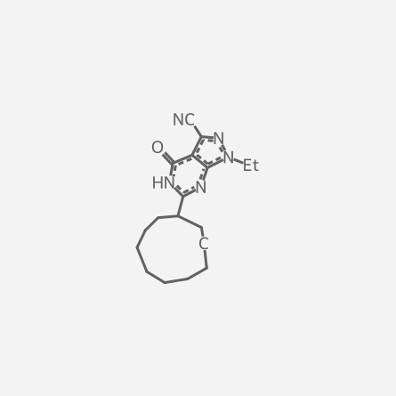 CCn1nc(C#N)c2c(=O)[nH]c(C3CCCCCCCCC3)nc21